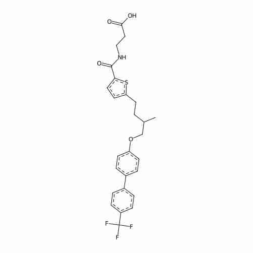 CC(CCc1ccc(C(=O)NCCC(=O)O)s1)COc1ccc(-c2ccc(C(F)(F)F)cc2)cc1